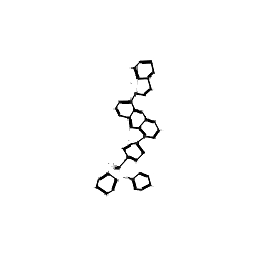 Oc1cccc2ccc(-c3cccc4cc5c(-c6ccc(-c7nc8ccccc8n7-c7ccccc7)cc6)cccc5cc34)nc12